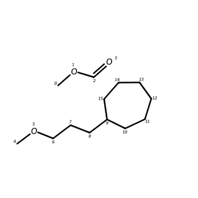 COC=O.COCCCC1CCCCCC1